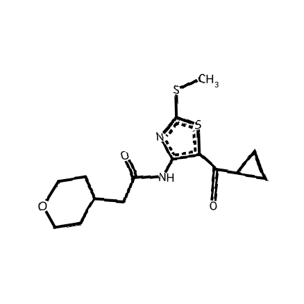 CSc1nc(NC(=O)CC2CCOCC2)c(C(=O)C2CC2)s1